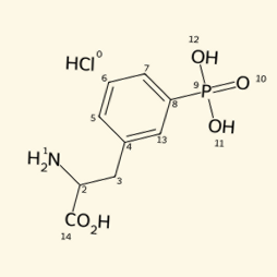 Cl.NC(Cc1cccc(P(=O)(O)O)c1)C(=O)O